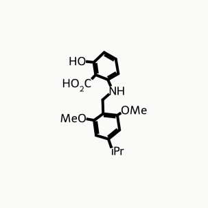 COc1cc(C(C)C)cc(OC)c1CNc1cccc(O)c1C(=O)O